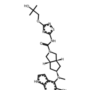 CN(c1c(C#N)cnc2[nH]ccc12)[C@H]1C[C@@H]2CN(C(=O)Nc3nc(OCC(C)(C)O)ns3)C[C@@H]2C1